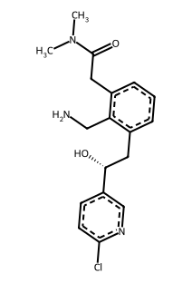 CN(C)C(=O)Cc1cccc(C[C@@H](O)c2ccc(Cl)nc2)c1CN